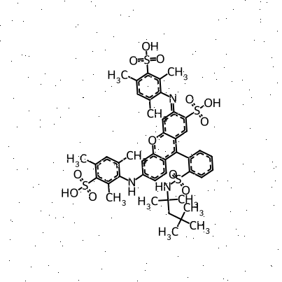 Cc1cc(C)c(S(=O)(=O)O)c(C)c1/N=c1\cc2oc3cc(Nc4c(C)cc(C)c(S(=O)(=O)O)c4C)ccc3c(-c3ccccc3S(=O)(=O)NC(C)(C)CC(C)(C)C)c-2cc1S(=O)(=O)O